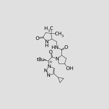 CC1(C)CC(=O)NC1CNC(=O)C1CC(O)CN1C(=O)[C@@H](n1cc(C2CC2)nn1)C(C)(C)C